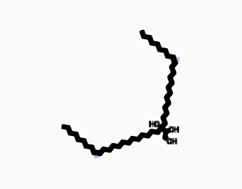 CCCCCCCC/C=C\CCCCCCCCCCCCC(O)(CCCCCCCCCCCC/C=C\CCCCCCCC)C(O)CO